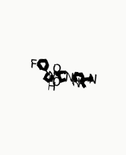 Cc1nc(N2CCC3(CC2)O[C@@H]2CC[C@@H](c4cccc(F)c4)N2C3=O)ccc1C#N